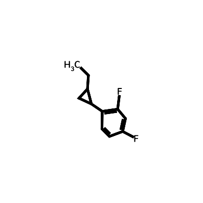 CCC1CC1c1ccc(F)cc1F